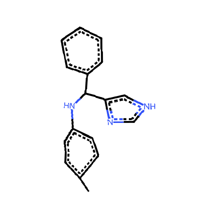 Cc1ccc(NC(c2ccccc2)c2c[nH]cn2)cc1